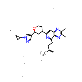 C=C(CCc1nc(C2CCOC(c3cnn(C4CC4)c3)C2)cc2nc(C)c(C)nc12)C(F)(F)F